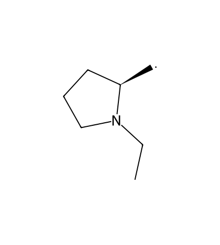 [CH2][C@@H]1CCCN1CC